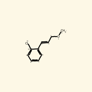 [CH2]OC/C=C/c1ccccc1Cl